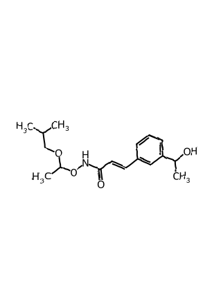 CC(C)COC(C)ONC(=O)/C=C/c1cccc(C(C)O)c1